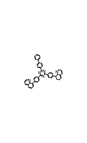 C1=CC2=CCCC(c3ccc(-c4nc(-c5ccc(-c6ccccc6)cc5)nc(-c5ccc(-c6cccc7cccnc67)cc5)n4)cc3)C2N=C1